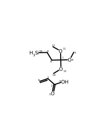 C=CC(=O)O.COC(CC[SiH3])(OC)OC